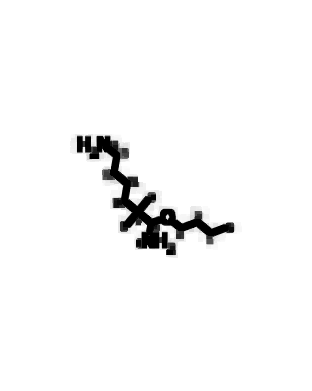 CCCCOC(N)C(C)(C)CCCCN